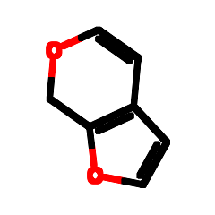 C1=Cc2ccoc2CO1